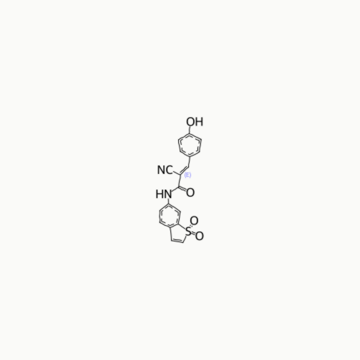 N#C/C(=C\c1ccc(O)cc1)C(=O)Nc1ccc2c(c1)S(=O)(=O)C=C2